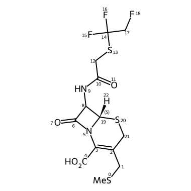 CSCC1=C(C(=O)O)N2C(=O)C(NC(=O)CSC(F)(F)CF)[C@@H]2SC1